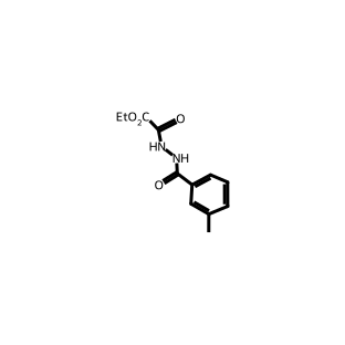 CCOC(=O)C(=O)NNC(=O)c1cccc(C)c1